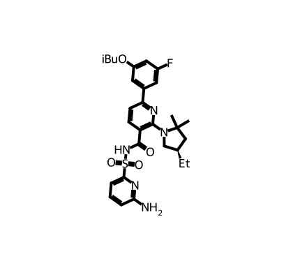 CC[C@H]1CN(c2nc(-c3cc(F)cc(OCC(C)C)c3)ccc2C(=O)NS(=O)(=O)c2cccc(N)n2)C(C)(C)C1